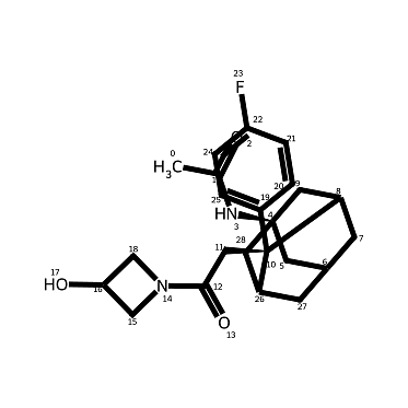 CC(=O)N[C@]12CC3CC(C1)[C@@](CC(=O)N1CC(O)C1)(c1ccc(F)cc1)C(C3)C2